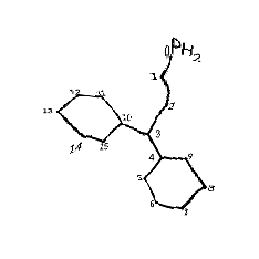 PCCC(C1CCCCC1)C1CCCCC1